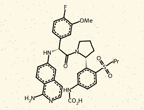 COc1cc([C@@H](Nc2ccc3c(N)nccc3c2)C(=O)N2CCC[C@@H]2c2cc(NC(=O)O)ccc2S(=O)(=O)C(C)C)ccc1F